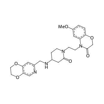 COc1ccc2c(c1)N(CCN1CCC(NCc3cc4c(cn3)OCCO4)CC1=O)C(=O)CO2